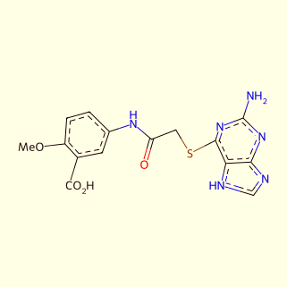 COc1ccc(NC(=O)CSc2nc(N)nc3nc[nH]c23)cc1C(=O)O